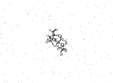 C=C(C)C(=O)OC(CC)[Si](C)(O[Si](C)(C)C)O[Si](C)(C)C